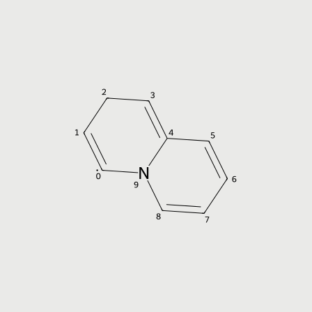 [C]1=CCC=C2C=CC=CN12